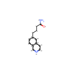 NC(=O)CCCc1ccc2cnccc2c1